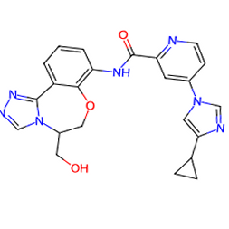 O=C(Nc1cccc2c1OCC(CO)n1cnnc1-2)c1cc(-n2cnc(C3CC3)c2)ccn1